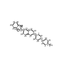 Fc1ccc(-c2ccc(-c3ccc4cc(-c5nc6ccccc6o5)ccc4c3)cc2)cc1